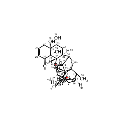 C[C@@]12C[C@H]3OC(=O)[C@@H]1CO[C@]14O[C@]5([C@H]2C1=O)[C@@](O)(CC[C@H]1[C@H]4C[C@@H](O)[C@@]2(O)CC=CC(=O)[C@]12C)C(=O)O[C@@]35C